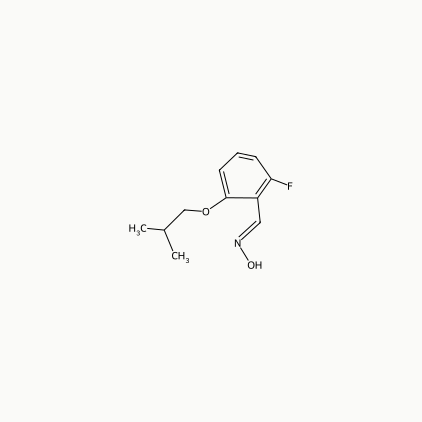 CC(C)COc1cccc(F)c1C=NO